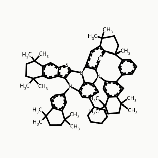 CC1(C)CCC(C)(C)c2cc(N3c4cc(C5CCCCC5)cc5c4B(c4cc6c7cc4N5c4cc5c(cc4-c4cccc(c4)C7(C)CCC6(C)C)C(C)(C)CCC5(C)C)c4sc5cc6c(cc5c43)C(C)(C)CCC6(C)C)ccc21